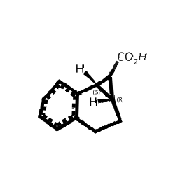 O=C(O)C1[C@H]2c3ccccc3CC[C@@H]12